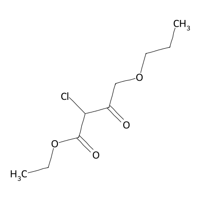 CCCOCC(=O)C(Cl)C(=O)OCC